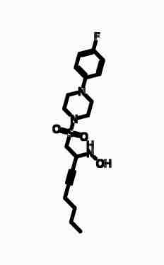 CCCCC#CC(CS(=O)(=O)N1CCN(c2ccc(F)cc2)CC1)NO